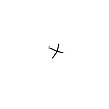 CC(C)(C)[S]